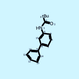 CC(C)(C)C(=O)Nc1cccc(-c2ccccc2)c1